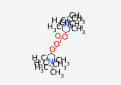 CCC(C)N1C(C)(C)CC(OCOCC(=O)OC2CC(C)(C)N(C(C)(CC)CC)C(C)(C)C2)CC1(C)C